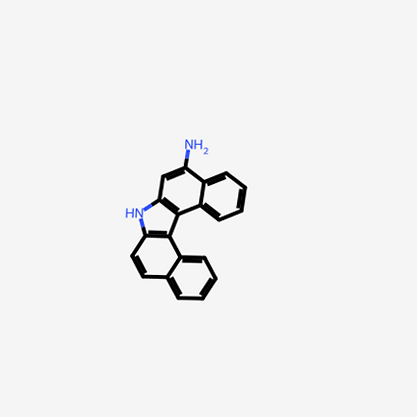 Nc1cc2[nH]c3ccc4ccccc4c3c2c2ccccc12